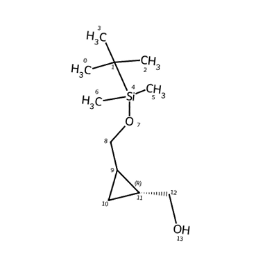 CC(C)(C)[Si](C)(C)OCC1C[C@H]1CO